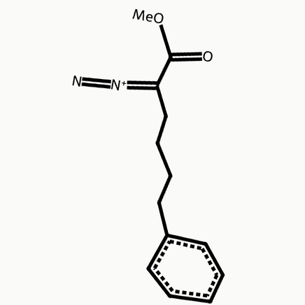 COC(=O)C(CCCCc1ccccc1)=[N+]=[N-]